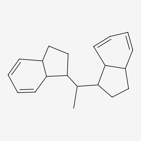 CC(C1CCC2C=CC=CC21)C1CCC2C=CC=CC21